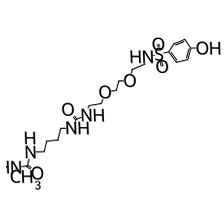 CNC(=O)NCCCCNC(=O)NCCOCCOCCNS(=O)(=O)c1ccc(O)cc1